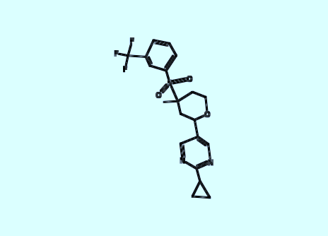 CC1(S(=O)(=O)c2cccc(C(F)(F)F)c2)CCOC(c2cnc(C3CC3)nc2)C1